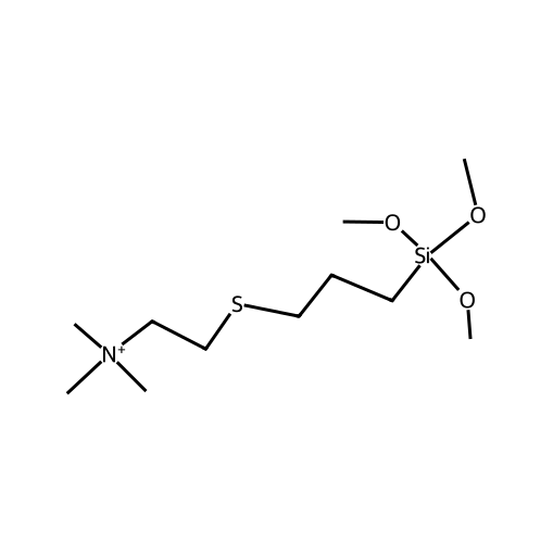 CO[Si](CCCSCC[N+](C)(C)C)(OC)OC